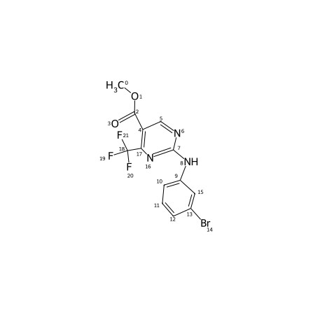 COC(=O)c1cnc(Nc2cccc(Br)c2)nc1C(F)(F)F